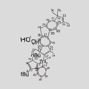 Cl.Cl.[CH2]=[Zr]([CH3])([C]1=CC(C(C)(C)C)=CC1CCCC)([C]1=C(C)c2cc3c(cc2C1(C)C)Cc1cc2c(cc1-3)C(C)=CC2(C)C)[c]1ccccc1